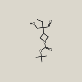 CCC(C=O)(CO)C1CN(C(=O)OC(C)(C)C)C1